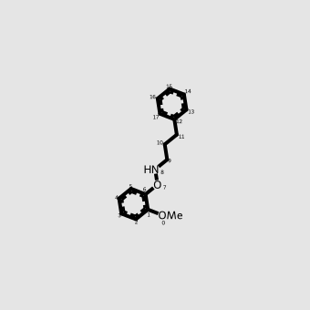 COc1ccccc1ONCCCc1ccccc1